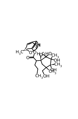 CCCC(C(=O)OC1=c2nc3[nH]c2=CS1(C)O3)[C@@]1(C)CC(C)(CO)[C@@](C)(O)C(C)(O)C1(C)O